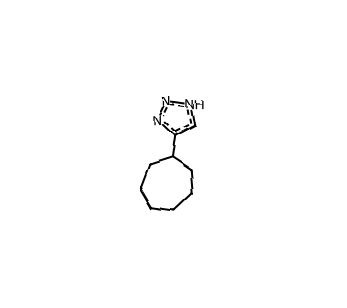 c1[nH]nnc1C1CCCCCC1